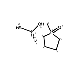 CP1(=O)CCCC1.O=[PH](O)S